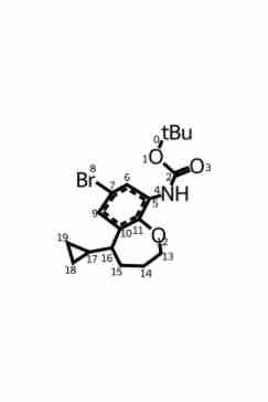 CC(C)(C)OC(=O)Nc1cc(Br)cc2c1OCCCC2C1CC1